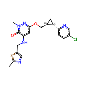 Cc1ncc(CNc2cc(OC[C@H]3C[C@@H]3c3ccc(Cl)cn3)nn(C)c2=O)s1